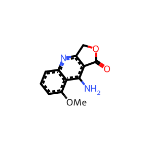 COc1cccc2nc3c(c(N)c12)C(=O)OC3